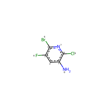 Nc1cc(F)c(Br)nc1Cl